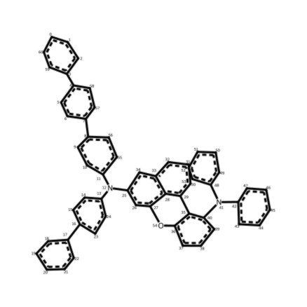 c1ccc(-c2ccc(-c3ccc(N(c4ccc(-c5ccccc5)cc4)c4cc5c6c(cccc6c4)-c4c(cccc4N(c4ccccc4)c4ccccc4)O5)cc3)cc2)cc1